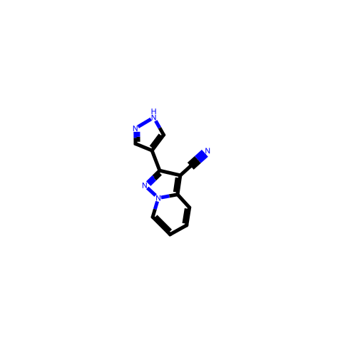 N#Cc1c(-c2cn[nH]c2)nn2ccccc12